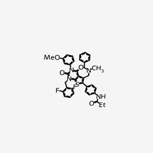 CCC(=O)Nc1ccc(-c2sc3c(c2CN(C)Cc2ccccc2)c(=O)n(-c2cccc(OC)c2)c(=O)n3Cc2c(F)cccc2F)cc1